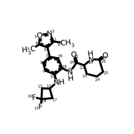 Cc1noc(C)c1-c1ccc(NC2CC(F)(F)C2)c(NC(=O)C2CCCC(=O)N2)c1